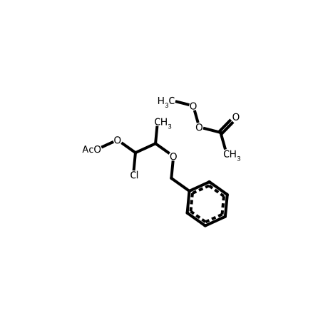 CC(=O)OOC(Cl)C(C)OCc1ccccc1.COOC(C)=O